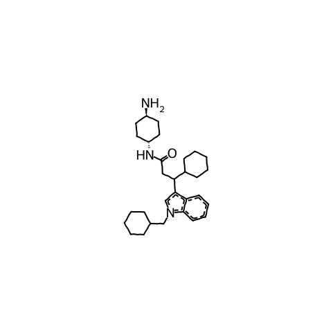 N[C@H]1CC[C@H](NC(=O)CC(c2cn(CC3CCCCC3)c3ccccc23)C2CCCCC2)CC1